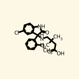 COc1ccccc1C1(NCC(C)(C)CC(=O)O)C(=O)Nc2ccc(Cl)cc21